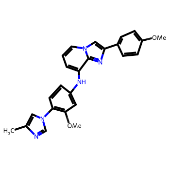 COc1ccc(-c2cn3cccc(Nc4ccc(-n5cnc(C)c5)c(OC)c4)c3n2)cc1